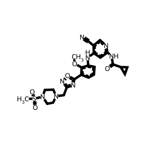 COc1c(Nc2cc(NC(=O)C3CC3)ncc2C#N)cccc1-c1nc(CN2CCN(S(C)(=O)=O)CC2)no1